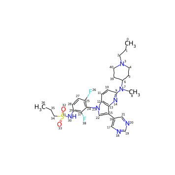 CCCN1CCC(N(C)c2ccc3c(n2)c(-c2cncnc2)cn3-c2c(F)ccc(NS(=O)(=O)CCC)c2F)CC1